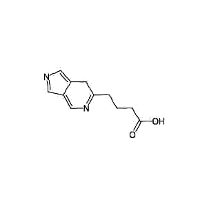 O=C(O)CCCC1=NC=C2C=NC=C2C1